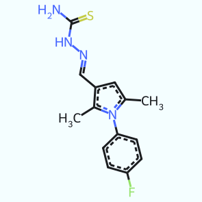 Cc1cc(C=NNC(N)=S)c(C)n1-c1ccc(F)cc1